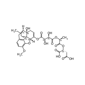 COc1ccc2c3c1O[C@H]1C(OC(=O)[C@H](O)[C@@H](O)C(=O)O[C@@H](C)C(=O)O[C@H](CC(=O)O)C(=O)O)=CC[C@@]4(O)[C@@H](C2)C(C)CC[C@]314